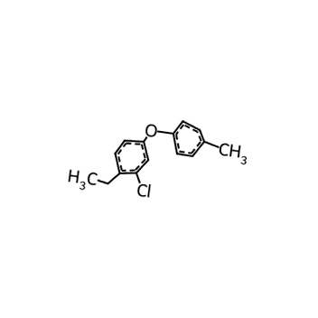 CCc1ccc(Oc2ccc(C)cc2)cc1Cl